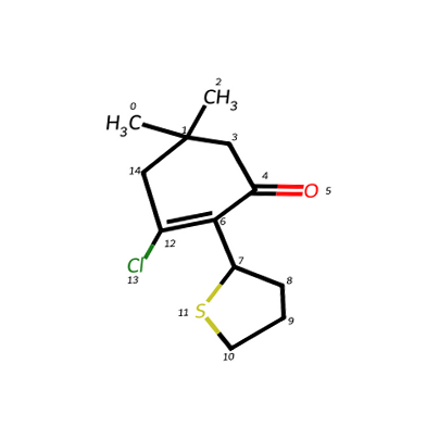 CC1(C)CC(=O)C(C2CCCS2)=C(Cl)C1